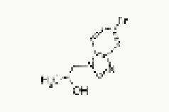 CC(O)Cn1cnc2cc(Br)ccc21